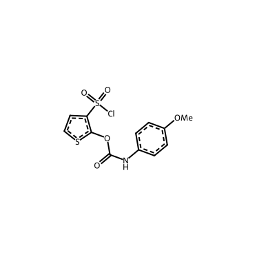 COc1ccc(NC(=O)Oc2sccc2S(=O)(=O)Cl)cc1